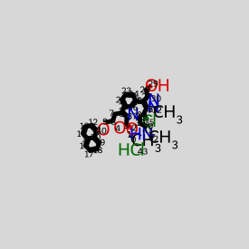 CCOC(=O)c1c(CCCOc2cccc3ccccc23)c2cccc(-c3c(CO)nn(C)c3CCl)c2n1CCCNC.Cl